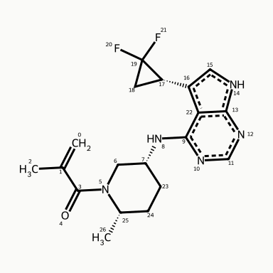 C=C(C)C(=O)N1C[C@H](Nc2ncnc3[nH]cc([C@@H]4CC4(F)F)c23)CC[C@@H]1C